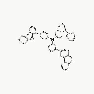 C1=CC2=CC(N(c3ccc(-c4cccc5c4oc4ccccc45)cc3)c3cccc(-c4ccc5ccc6ccccc6c5c4)c3)=CC3c4ccccc4C(=C1)C23